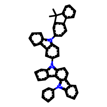 CC1(C)c2ccccc2-c2ccc(-n3c4ccccc4c4cc(-n5c6ccccc6c6c5ccc5c7ccccc7n(-c7ccccc7)c56)ccc43)cc21